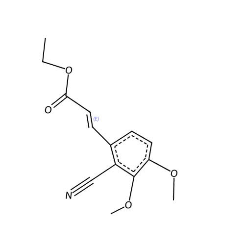 CCOC(=O)/C=C/c1ccc(OC)c(OC)c1C#N